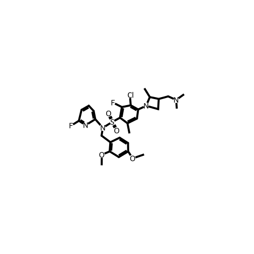 COc1ccc(CN(c2cccc(F)n2)S(=O)(=O)c2c(C)cc(N3CC(CN(C)C)C3C)c(Cl)c2F)c(OC)c1